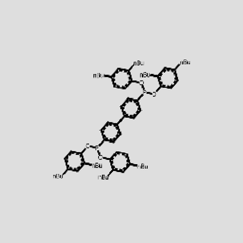 CCCCc1ccc(OP(Oc2ccc(CCCC)cc2CCCC)c2ccc(-c3ccc(P(Oc4ccc(CCCC)cc4CCCC)Oc4ccc(CCCC)cc4CCCC)cc3)cc2)c(CCCC)c1